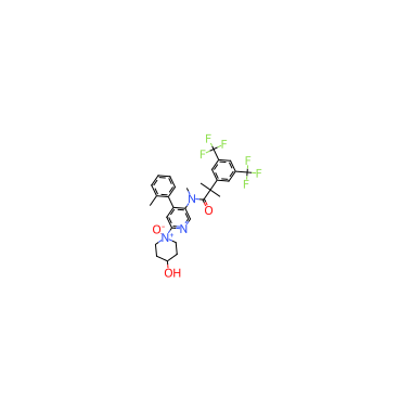 Cc1ccccc1-c1cc([N+]2([O-])CCC(O)CC2)ncc1N(C)C(=O)C(C)(C)c1cc(C(F)(F)F)cc(C(F)(F)F)c1